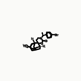 C[C@@H](c1ccc(Br)cc1)N1CCC2(OC1=O)[C@@H]1CC3C[C@H]2CC(O)(C3)C1